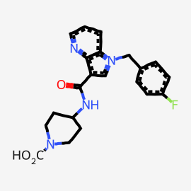 O=C(NC1CCN(C(=O)O)CC1)c1cn(Cc2ccc(F)cc2)c2cccnc12